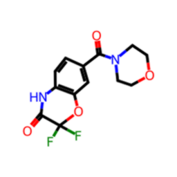 O=C(c1ccc2c(c1)OC(F)(F)C(=O)N2)N1CCOCC1